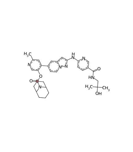 Cc1cc(-c2ccn3nc(Nc4ccc(C(=O)NCC(C)(C)O)cn4)cc3c2)c(OC(=O)N2C3CCCC2COC3)cn1